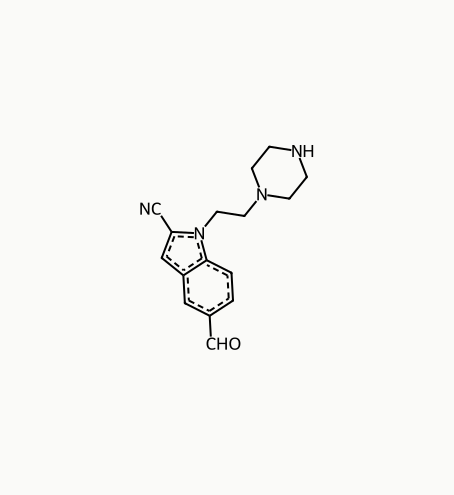 N#Cc1cc2cc(C=O)ccc2n1CCN1CCNCC1